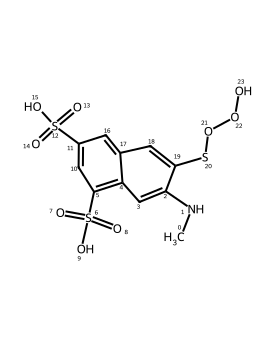 CNc1cc2c(S(=O)(=O)O)cc(S(=O)(=O)O)cc2cc1SOOO